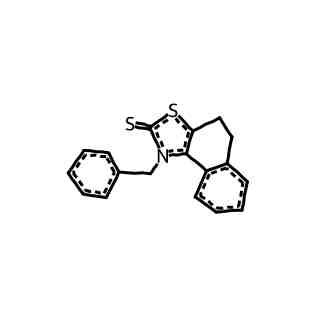 S=c1sc2c(n1Cc1ccccc1)-c1ccccc1CC2